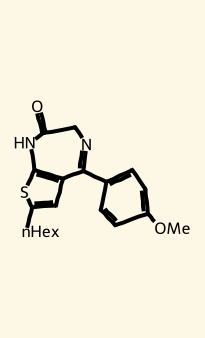 CCCCCCc1cc2c(s1)NC(=O)CN=C2c1ccc(OC)cc1